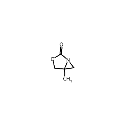 CC12COC(=O)N1C2